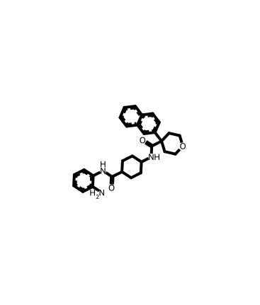 Nc1ccccc1NC(=O)C1CCC(NC(=O)C2(c3ccc4ccccc4c3)CCOCC2)CC1